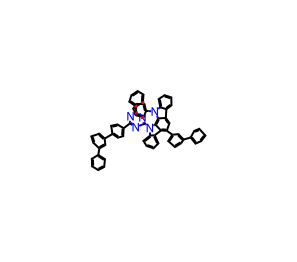 c1ccc(-c2cccc(-c3ccc(-c4nc(-c5ccccc5)nc(-n5c6ccccc6c6c(-c7cccc(-c8ccccc8)c7)cc7c8ccccc8n(-c8ccccc8)c7c65)n4)cc3)c2)cc1